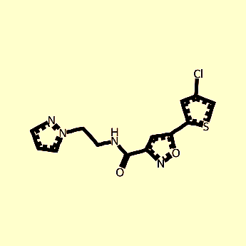 O=C(NCCn1cccn1)c1cc(-c2cc(Cl)cs2)on1